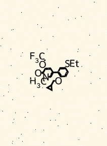 CCSc1ccc(OCC2CC2)c(-c2cc(OCC(F)(F)F)c(=O)n(C)c2)c1